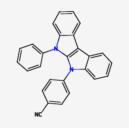 N#Cc1ccc(-n2c3ccccc3c3c4ccccc4n(-c4ccccc4)c32)cc1